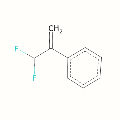 C=C(c1ccccc1)C(F)F